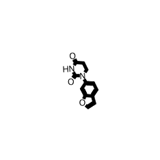 O=C1CCN(c2ccc3ccoc3c2)C(=O)N1